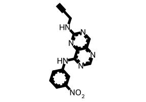 C#CCNc1ncc2ncnc(Nc3cccc([N+](=O)[O-])c3)c2n1